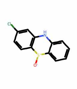 [O-][S+]1c2ccccc2Nc2cc(Cl)ccc21